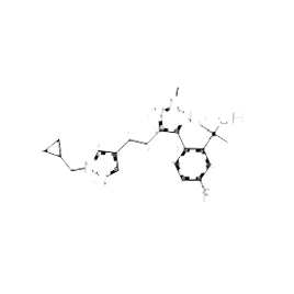 Cn1nc(CCc2cnn(CC3CC3)c2)c(-c2ccc(F)cc2C(C)(C)O)n1